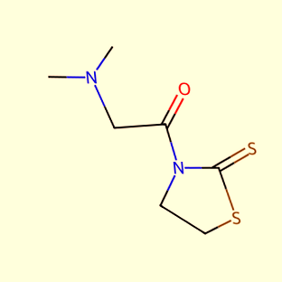 CN(C)CC(=O)N1CCSC1=S